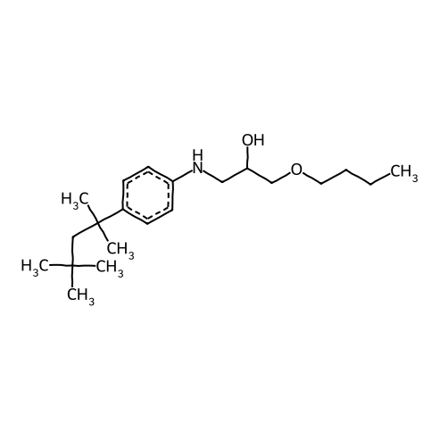 CCCCOCC(O)CNc1ccc(C(C)(C)CC(C)(C)C)cc1